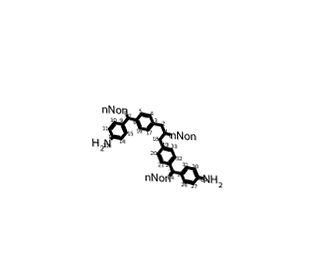 CCCCCCCCCC(Cc1ccc(C(CCCCCCCCC)c2ccc(N)cc2)cc1)Cc1ccc(C(CCCCCCCCC)c2ccc(N)cc2)cc1